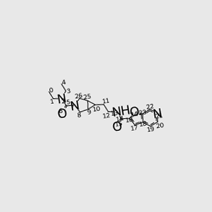 CCN(CC)C(=O)N1CC2C(CCNC(=O)c3cc4ccncc4o3)C2C1